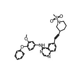 COc1cc(Nc2ncnc3ccc(C#CC4CCCN(S(C)(=O)=O)C4)cc23)ccc1Oc1ccccc1